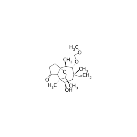 C=C[C@]1(C)C[C@@H](O)[C@@]2(C)C3C(=O)CCC3(CC[C@H]2C)[C@@H](C)[C@@H]1OCOC